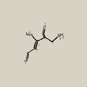 CN/C(=C\C=N)C(=O)CN